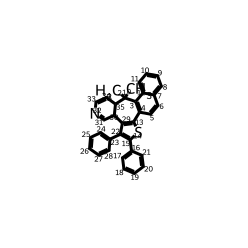 CC1(C)c2c(ccc3ccccc23)-c2sc(-c3ccccc3)c(-c3ccccc3)c2C2C=NC=CC21